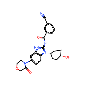 N#Cc1cccc(C(=O)/N=c2\[nH]c3cc(N4CCOCC4=O)ccc3n2[C@H]2CC[C@@H](O)CC2)c1